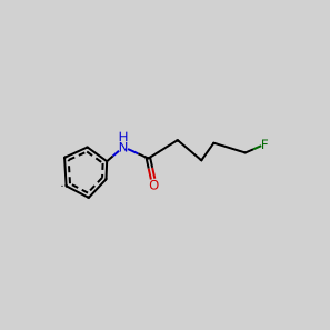 O=C(CCCCF)Nc1cc[c]cc1